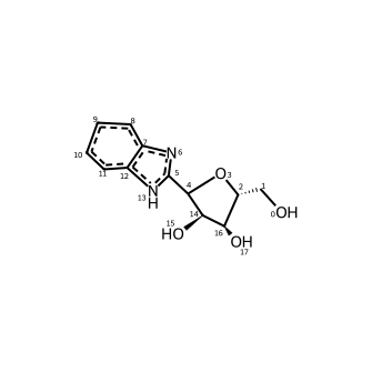 OC[C@H]1OC(c2nc3ccccc3[nH]2)[C@H](O)[C@@H]1O